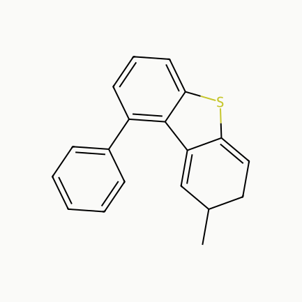 CC1C=c2c(sc3cccc(-c4ccccc4)c23)=CC1